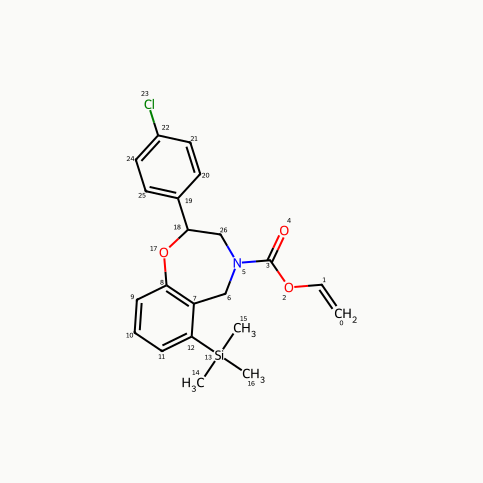 C=COC(=O)N1Cc2c(cccc2[Si](C)(C)C)OC(c2ccc(Cl)cc2)C1